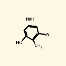 Cc1c(O)cccc1C(C)C.[NaH]